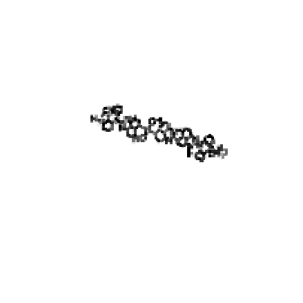 CC1(C)c2ccccc2N(C2=Nc3cccc4c(C5=NC6=C7C(=CC=CC7C(C7=C(O)C(c8ccc9c%10c(cccc8%10)N=C(N8c%10ccccc%10C(C)(C)c%10ccccc%108)N9)=C7O)C=C6)N5)ccc(c34)N2)c2ccccc21